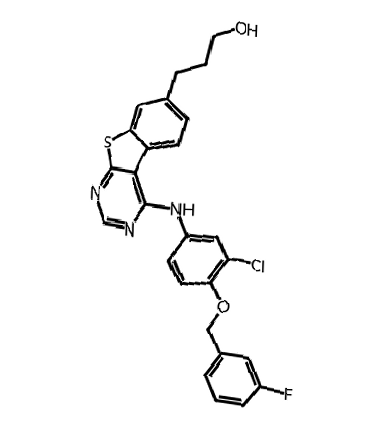 OCCCc1ccc2c(c1)sc1ncnc(Nc3ccc(OCc4cccc(F)c4)c(Cl)c3)c12